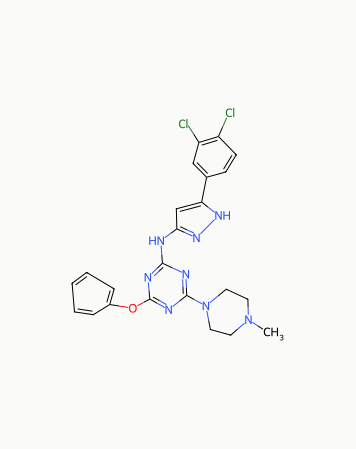 CN1CCN(c2nc(Nc3cc(-c4ccc(Cl)c(Cl)c4)[nH]n3)nc(Oc3ccccc3)n2)CC1